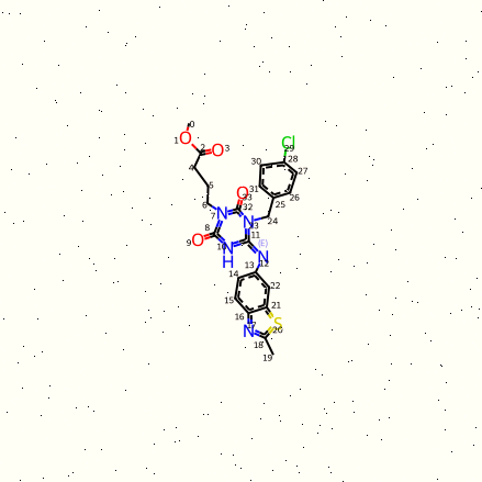 COC(=O)CCCn1c(=O)[nH]/c(=N\c2ccc3nc(C)sc3c2)n(Cc2ccc(Cl)cc2)c1=O